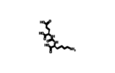 NCCCC[C@H](NC(=O)N[C@H](CCC(=O)O)C(=O)O)C(=O)O